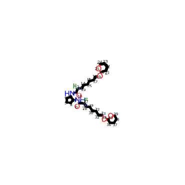 O=C(N[C@H]1CCC[C@H]1NC(=O)/C(F)=C/CCCCCOC1CCCCO1)/C(F)=C/CCCCCOC1CCCCO1